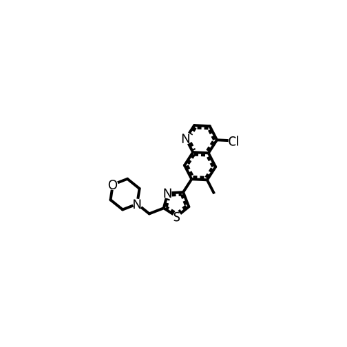 Cc1cc2c(Cl)ccnc2cc1-c1csc(CN2CCOCC2)n1